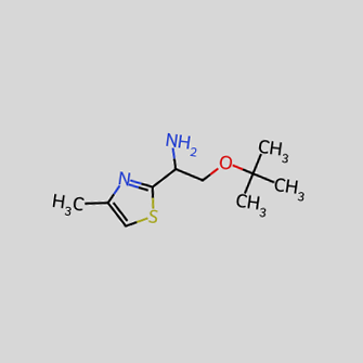 Cc1csc(C(N)COC(C)(C)C)n1